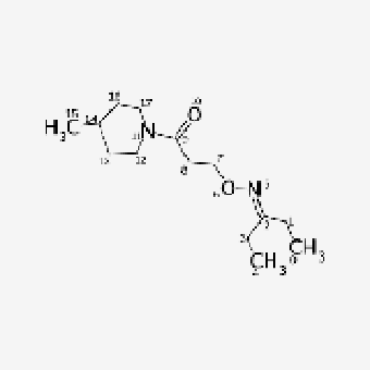 CCC(CC)=NOCCC(=O)N1CCC(C)CC1